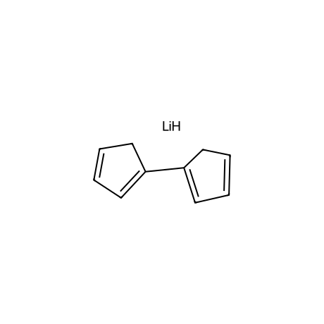 C1=CCC(C2=CC=CC2)=C1.[LiH]